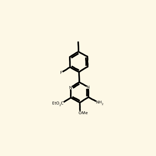 CCOC(=O)c1nc(-c2ccc(C)cc2F)nc(N)c1OC